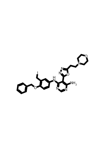 Nc1ncnc(Nc2ccc(OCc3ccccc3)c(CI)c2)c1-c1nnc(CCN2CCOCC2)o1